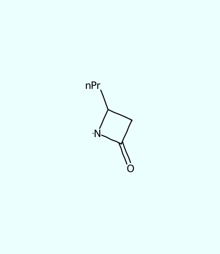 CCCC1CC(=O)[N]1